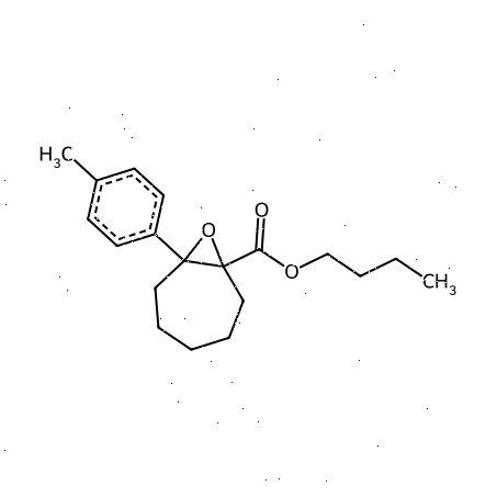 CCCCOC(=O)C12CCCCCC1(c1ccc(C)cc1)O2